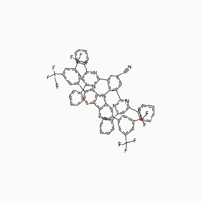 N#Cc1cc(-c2nc(-c3ccccc3)cc(-c3ccccc3)n2)c(-n2c3cc(-c4cc(C(F)(F)F)cc(C(F)(F)F)c4)ccc3c3ccc(-c4cc(C(F)(F)F)cc(C(F)(F)F)c4)cc32)c(-c2nc(-c3ccccc3)cc(-c3ccccc3)n2)c1